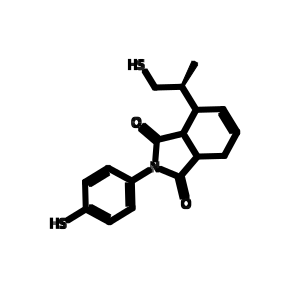 C[C@H](CS)C1C=CCC2C(=O)N(c3ccc(S)cc3)C(=O)C21